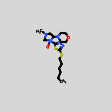 CCCCCCSc1nnc([N+]2([O-])CN(C)CC2N2CCOCC2)s1